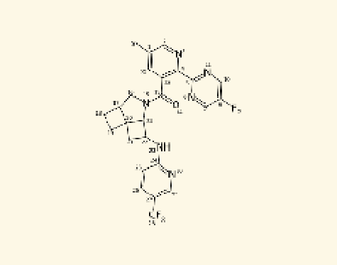 Cc1cnc(-c2ncc(F)cn2)c(C(=O)N2CC3CCC34CC(Nc3ccc(C(F)(F)F)cn3)C24)c1